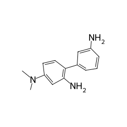 CN(C)c1ccc(-c2cccc(N)c2)c(N)c1